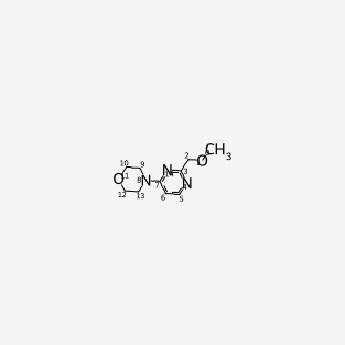 COCc1nccc(N2CCOCC2)n1